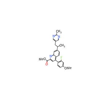 COC(=O)c1cc(-c2ccc(OC)cc2F)c2ccc(C(C)Cc3cnc(C)nc3)cc2n1